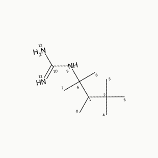 CC(C(C)(C)C)C(C)(C)NC(=N)N